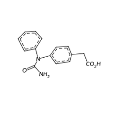 NC(=O)N(c1ccccc1)c1ccc(CC(=O)O)cc1